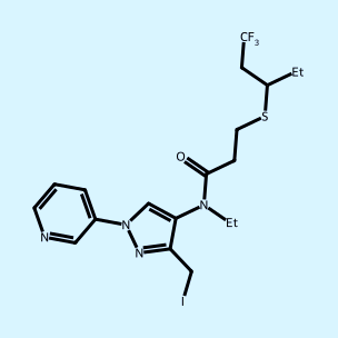 CCC(CC(F)(F)F)SCCC(=O)N(CC)c1cn(-c2cccnc2)nc1CI